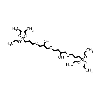 CCO[Si](CCCOCC(O)CCOCC(O)COCCC[Si](OCC)(OCC)OCC)(OCC)OCC